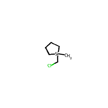 C[Si]1(CCl)CCCC1